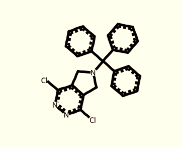 Clc1nnc(Cl)c2c1CN(C(c1ccccc1)(c1ccccc1)c1ccccc1)C2